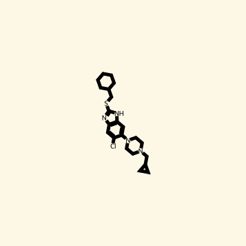 Clc1cc2nc(SCC3CCCCC3)[nH]c2cc1N1CCN(CC2CC2)CC1